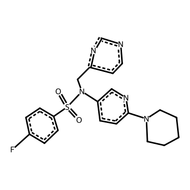 O=S(=O)(c1ccc(F)cc1)N(Cc1ccncn1)c1ccc(N2CCCCC2)nc1